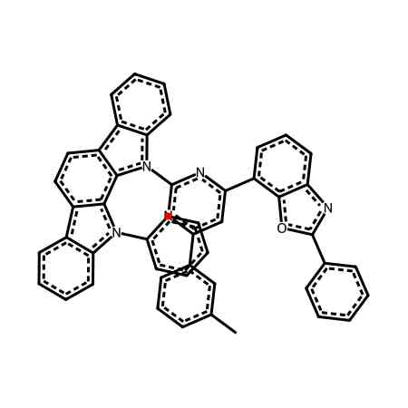 Cc1cccc(-c2cc(-c3cccc4nc(-c5ccccc5)oc34)nc(-n3c4ccccc4c4ccc5c6ccccc6n(-c6ccccc6)c5c43)n2)c1